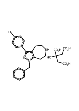 Clc1ccc(-c2nn(Cc3ccccc3)c3c2CCNCC3)cc1.O=C(O)CC(O)(CC(=O)O)C(=O)O